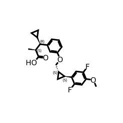 COc1cc(F)c([C@H]2C[C@@H]2COc2cccc([C@H](C3CC3)[C@H](C)C(=O)O)c2)cc1F